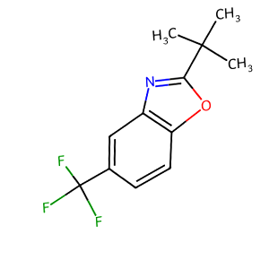 CC(C)(C)c1nc2cc(C(F)(F)F)ccc2o1